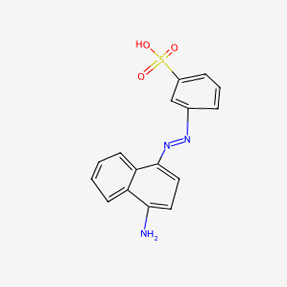 Nc1ccc(N=Nc2cccc(S(=O)(=O)O)c2)c2ccccc12